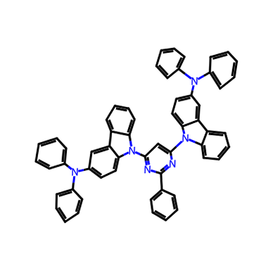 c1ccc(-c2nc(-n3c4ccccc4c4cc(N(c5ccccc5)c5ccccc5)ccc43)cc(-n3c4ccccc4c4cc(N(c5ccccc5)c5ccccc5)ccc43)n2)cc1